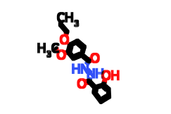 CCCOc1ccc(C(=O)NNC(=O)c2ccccc2O)cc1OC